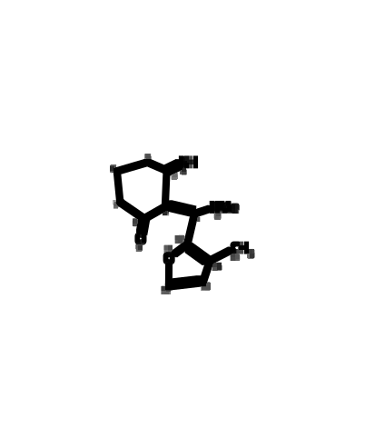 CN/C(=C1\C(=N)CCCC1=O)c1occc1C